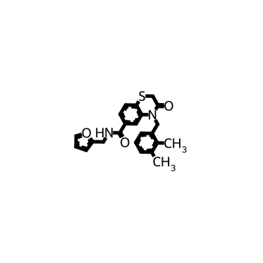 Cc1cccc(CN2C(=O)CSc3ccc(C(=O)NCc4ccco4)cc32)c1C